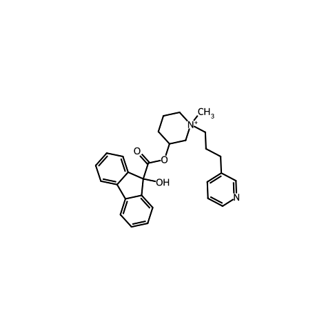 C[N+]1(CCCc2cccnc2)CCCC(OC(=O)C2(O)c3ccccc3-c3ccccc32)C1